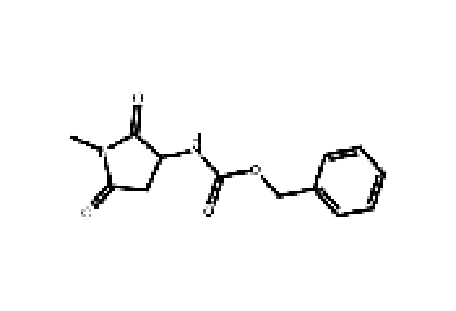 CN1C(=O)CC(NC(=O)OCc2ccccc2)C1=O